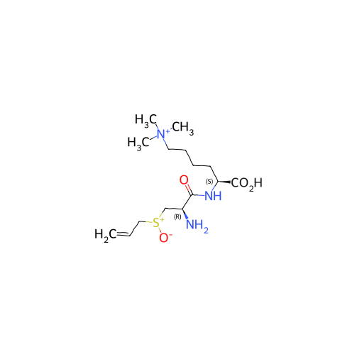 C=CC[S+]([O-])C[C@H](N)C(=O)N[C@@H](CCCC[N+](C)(C)C)C(=O)O